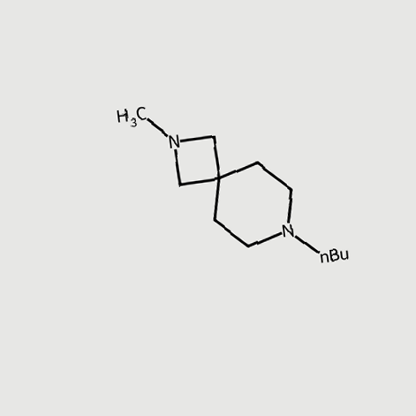 CCCCN1CCC2(CC1)CN(C)C2